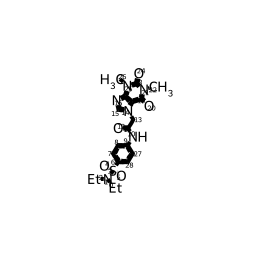 CCN(CC)S(=O)(=O)c1ccc(NC(=O)Cn2cnc3c2c(=O)n(C)c(=O)n3C)cc1